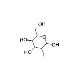 OCC1OC(O)C(I)C(O)[C@H]1O